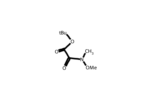 CON(C)C(=O)C(=O)OC(C)(C)C